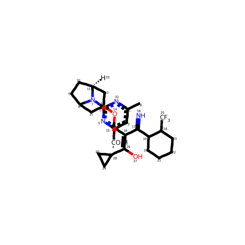 Cc1cc(C(=O)O)nc(N2C3CC[C@H]2CC(OC/C(C(=N)C2CCCCC2C(F)(F)F)=C(/O)C2CC2)C3)n1